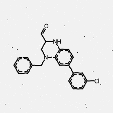 O=CC1CN(Cc2ccccc2)c2cc(-c3cccc(Cl)c3)ccc2N1